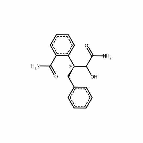 NC(=O)c1ccccc1[C@H](Cc1ccccc1)C(O)C(N)=O